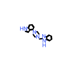 c1ccc2[nH]c(CN3CCN(c4cccc5[nH]ccc45)CC3)nc2c1